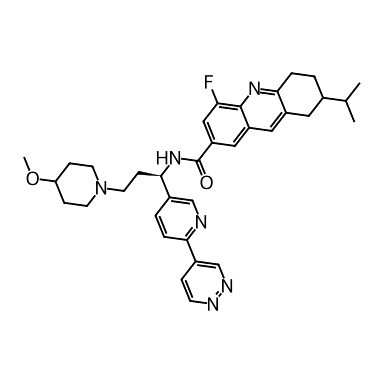 COC1CCN(CC[C@@H](NC(=O)c2cc(F)c3nc4c(cc3c2)CC(C(C)C)CC4)c2ccc(-c3ccnnc3)nc2)CC1